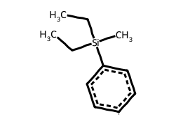 CC[Si](C)(CC)c1cc[c]cc1